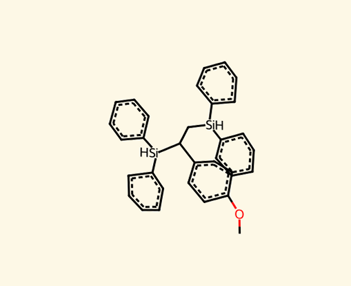 COc1ccc(C(C[SiH](c2ccccc2)c2ccccc2)[SiH](c2ccccc2)c2ccccc2)cc1